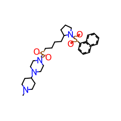 CN1CCC(N2CCN(S(=O)(=O)CCCCC3CCCN3S(=O)(=O)c3cccc4ccccc34)CC2)CC1